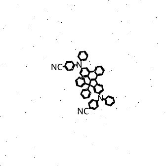 N#Cc1ccc(N(c2ccccc2)c2ccc3c(c2)C(c2ccccc2)(c2ccccc2)c2c-3c3ccccc3c3cc(N(c4ccccc4)c4ccc(C#N)cc4)ccc23)cc1